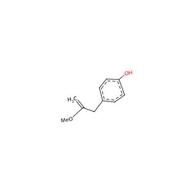 C=C(Cc1ccc(O)cc1)OC